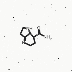 NC(=O)C1CCN=C2CCNC21